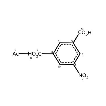 CC(C)=O.O=C(O)c1cc(C(=O)O)cc([N+](=O)[O-])c1